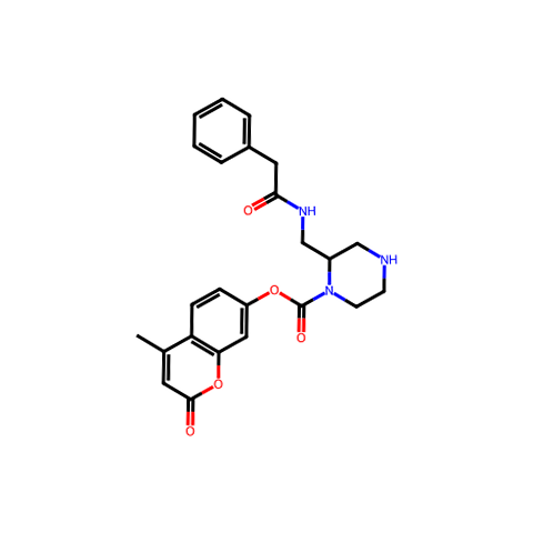 Cc1cc(=O)oc2cc(OC(=O)N3CCNCC3CNC(=O)Cc3ccccc3)ccc12